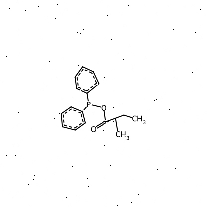 CCC(C)C(=O)OP(c1ccccc1)c1ccccc1